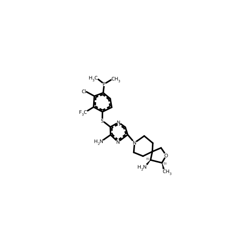 C[C@@H]1OCC2(CCN(c3cnc(Sc4ccc(P(C)C)c(Cl)c4C(F)(F)F)c(N)n3)CC2)[C@@H]1N